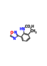 Cc1cccc(-c2ncon2)c1NC(=O)O